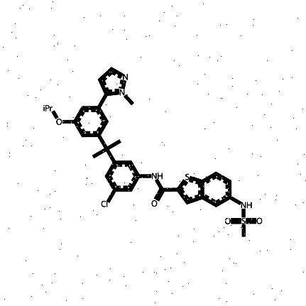 CC(C)Oc1cc(-c2ccnn2C)cc(C(C)(C)c2cc(Cl)cc(NC(=O)c3cc4cc(NS(C)(=O)=O)ccc4s3)c2)c1